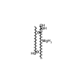 CCCCCCCCCCCCCCCCCC(=O)O.CCCCCCCCCCCCCCCCCC(=O)OCC(O)CO.[MgH2]